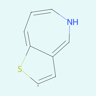 [c]1cc2c(s1)=CC=CNC=2